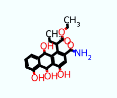 CCOC(=O)C(CC)c1c(C(N)=O)cc(O)c2c1C(O)c1cccc(O)c1C2O